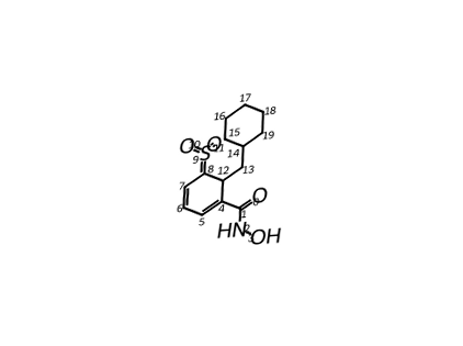 O=C(NO)C1=CC=CC(=S(=O)=O)C1CC1CCCCC1